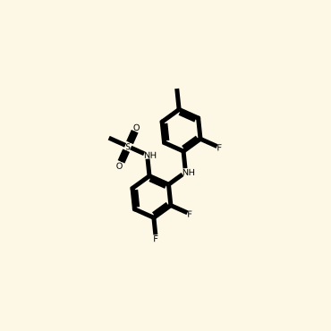 Cc1ccc(Nc2c(NS(C)(=O)=O)ccc(F)c2F)c(F)c1